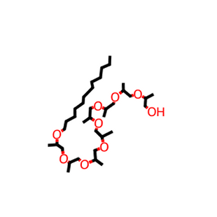 CCCCCCCCCCCCOC(C)COC(C)COC(C)COC(C)COC(C)COC(C)COC(C)COC(C)CO